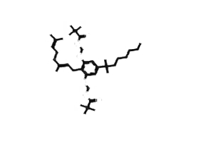 CCCCCCC(C)(C)c1cc(OCOC(=O)C(C)(C)C)c(C/C=C(\C)CCC=C(C)C)c(OCOC(=O)C(C)(C)C)c1